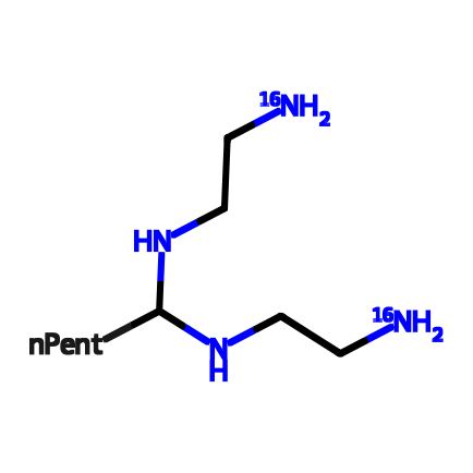 CCCCCC(NCC[16NH2])NCC[16NH2]